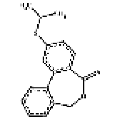 CC(C)Sc1ccc2c(c1)-c1ccccc1COC2=S